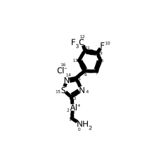 N[CH2][Al+][c]1nc(-c2ccc(F)c(C(F)(F)F)c2)ns1.[Cl-]